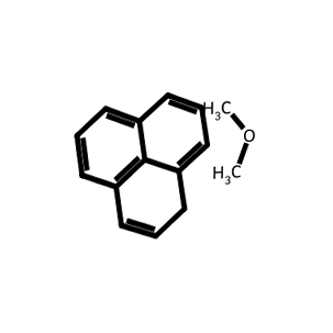 C1=Cc2cccc3cccc(c23)C1.COC